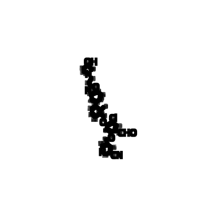 Cc1c(COc2cc(OCc3cncc(C#N)c3)c(C=O)cc2Cl)cccc1-c1ccc2oc(CCN3CCC(O)C3)nc2c1